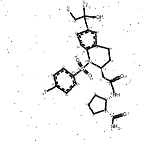 NC(=O)[C@@H]1CCC[C@@H]1NC(=O)C[C@@H]1CCc2cc(C(O)(CF)C(F)(F)F)ccc2N1S(=O)(=O)c1ccc(F)cc1